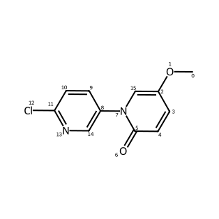 COc1ccc(=O)n(-c2ccc(Cl)nc2)c1